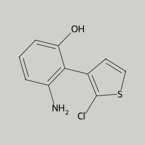 Nc1cccc(O)c1-c1ccsc1Cl